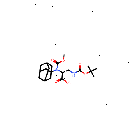 COC(=O)N(C(CNC(=O)OC(C)(C)C)C(=O)O)C12CC3CC(CC(C3)C1)C2